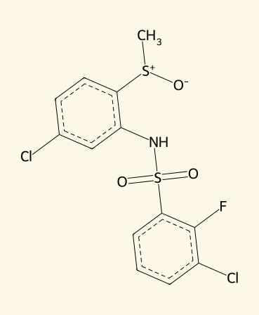 C[S+]([O-])c1ccc(Cl)cc1NS(=O)(=O)c1cccc(Cl)c1F